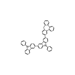 c1ccc(-n2c3ccccc3c3cc(-c4ccc5c(c4)c4cc(-c6ccc7c(c6)-c6ccccc6-c6ccccc6C7)ccc4n5-c4ccccc4)ccc32)cc1